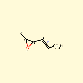 CC1OC1/C=C/C(=O)O